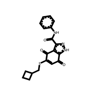 O=C(Nc1ccccc1)c1n[nH]c2c1C(=O)C(SCC1CCC1)=CC2=O